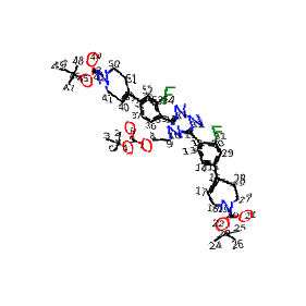 CC(C)(C)OC(=O)OCCn1c(-c2ccc(C3=CCN(C(=O)OC(C)(C)C)CC3)cc2F)nnc1-c1ccc(C2=CCN(C(=O)OC(C)(C)C)CC2)cc1F